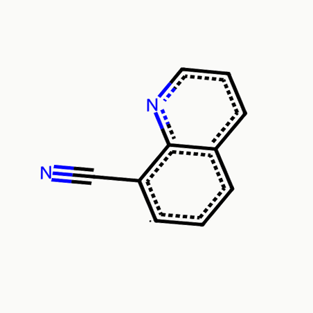 N#Cc1[c]ccc2cccnc12